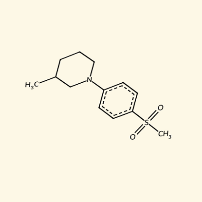 CC1CCCN(c2ccc(S(C)(=O)=O)cc2)C1